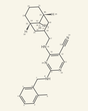 Cc1ccccc1CNc1ncc(C#N)c(NCC2C[C@H]3CCC[C@@H](C2)[C@@H]3N)n1